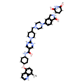 N#Cc1ccc(O[C@H]2CC[C@H](NC(=O)c3cnc(N4CCC(CN5CCN(c6ccc7c(c6)CN([C@H]6CCC(=O)NC6=O)C7=O)CC5)CC4)nc3)CC2)c2cccnc12